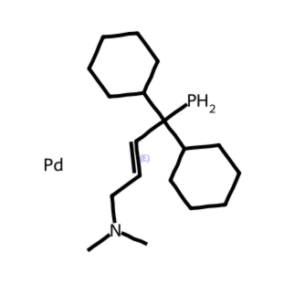 CN(C)C/C=C/C(P)(C1CCCCC1)C1CCCCC1.[Pd]